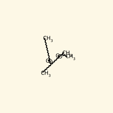 CCCCCCCC=CC(CCCCCCCC(=O)OCC(CC)CCCC)COC(=O)CCCCCCCCCCCCCCCCC